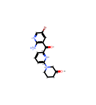 Nc1ncc(Br)cc1C(=O)c1cccc(N2CCCC(=O)C2)n1